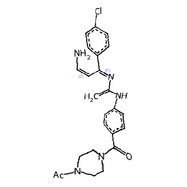 C=C(/N=C(\C=C/N)c1ccc(Cl)cc1)Nc1ccc(C(=O)N2CCN(C(C)=O)CC2)cc1